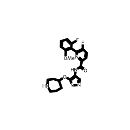 COc1cccc(F)c1-c1nc(C(=O)Nc2cnsc2OC2CCCNCC2)ccc1F